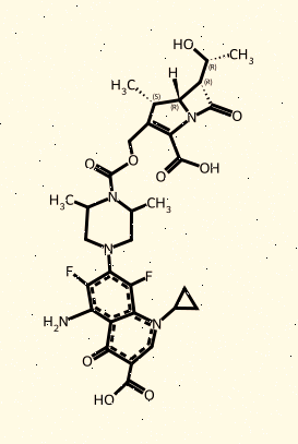 CC1CN(c2c(F)c(N)c3c(=O)c(C(=O)O)cn(C4CC4)c3c2F)CC(C)N1C(=O)OCC1=C(C(=O)O)N2C(=O)[C@@H]([C@@H](C)O)[C@H]2[C@H]1C